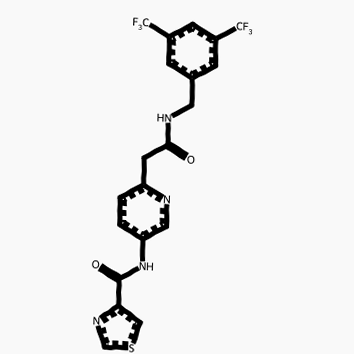 O=C(Cc1ccc(NC(=O)c2cscn2)cn1)NCc1cc(C(F)(F)F)cc(C(F)(F)F)c1